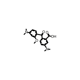 COc1cc(N(C)C)ccc1C(=O)c1ccc(N(C)C)cc1C(=O)O